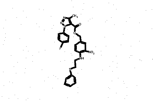 Cc1nnn(-c2ccc(F)cc2)c1C(=O)OCc1ccc(NCCSc2ccccc2)c([N+](=O)[O-])c1